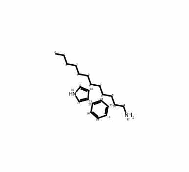 CCCCCCCCCCCCN.c1cc[nH]c1.c1ccccc1